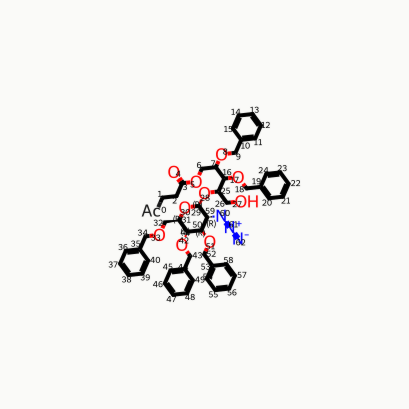 CC(=O)CCC(=O)OCC(OCc1ccccc1)C(OCc1ccccc1)C(CO)O[C@@H]1O[C@H](COCc2ccccc2)[C@@H](OCc2ccccc2)[C@H](OCc2ccccc2)[C@H]1N=[N+]=[N-]